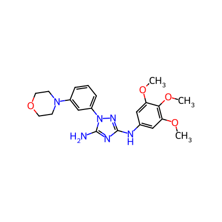 COc1cc(Nc2nc(N)n(-c3cccc(N4CCOCC4)c3)n2)cc(OC)c1OC